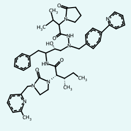 CC[C@H](C)[C@@H](C(=O)NC(Cc1ccccc1)[C@H](O)CN(Cc1ccc(-c2ccccn2)cc1)NC(=O)C(C(C)C)N1CCCC1=O)N1CCN(Cc2cccc(C)n2)C1=O